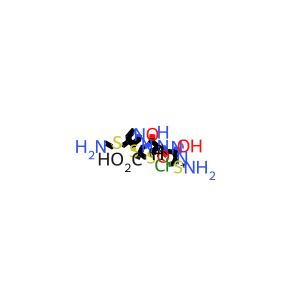 NCCSCc1ccncc1SC1(C(=O)O)CS[C@@H]2[C@H](NC(=O)C(=NO)c3nc(N)sc3Cl)C(=O)N2C1